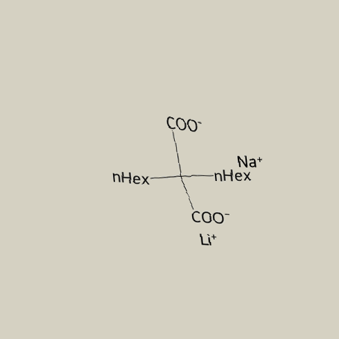 CCCCCCC(CCCCCC)(C(=O)[O-])C(=O)[O-].[Li+].[Na+]